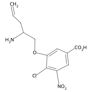 C=CCC(N)COc1cc(C(=O)O)cc([N+](=O)[O-])c1Cl